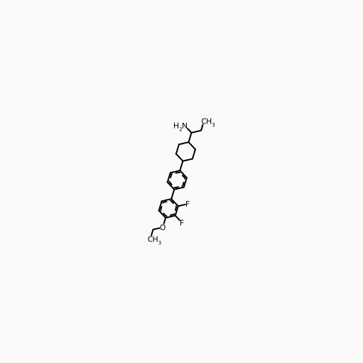 CCOc1ccc(-c2ccc(C3CCC(C(N)CC)CC3)cc2)c(F)c1F